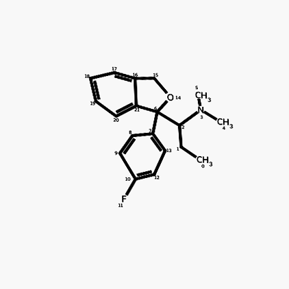 CCC(N(C)C)C1(c2ccc(F)cc2)OCc2ccccc21